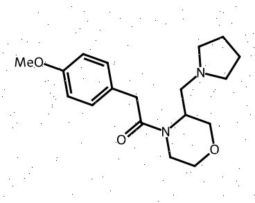 COc1ccc(CC(=O)N2CCOCC2CN2CCCC2)cc1